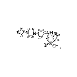 Cc1c(Br)nc(Nc2ccc(N3CCN(C4COC4)CC3)cc2)c2nccn12